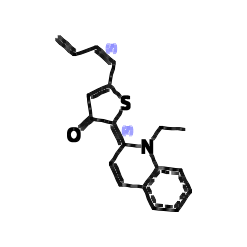 C=C/C=C\C1=CC(=O)/C(=C2\C=Cc3ccccc3N2CC)S1